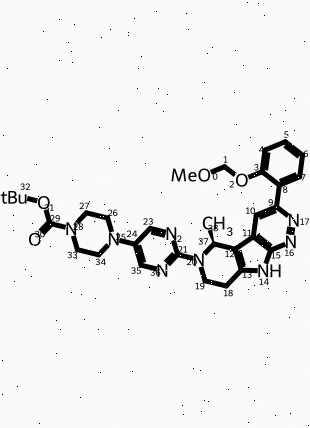 COCOc1ccccc1-c1cc2c3c([nH]c2nn1)CCN(c1ncc(N2CCN(C(=O)OC(C)(C)C)CC2)cn1)[C@H]3C